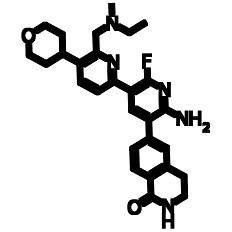 CCN(C)Cc1nc(-c2cc(-c3ccc4c(c3)CCNC4=O)c(N)nc2F)ccc1C1CCOCC1